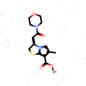 Cc1cn2c(c1C(=O)OC(C)C)SCC2=CC(=O)N1CCOCC1